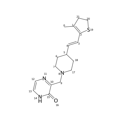 CC1=C(/C=C/C2CCN(Cc3ncc[nH]c3=O)CC2)SCC1